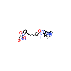 CN1CCC[C@@H]1c1cc2cnc(NC(=O)c3ccc(CCCC#Cc4cccc5c4CN(C4CCC(=O)NC4=O)C5=O)cc3)cc2[nH]1